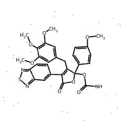 COc1ccc(C2(OC([NH])=O)OC(=O)C(c3ccc4nsnc4c3)=C2Cc2cc(OC)c(OC)c(OC)c2)cc1